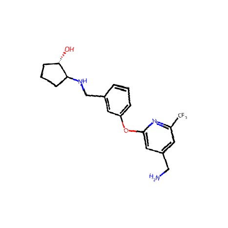 NCc1cc(Oc2cccc(CNC3CCC[C@@H]3O)c2)nc(C(F)(F)F)c1